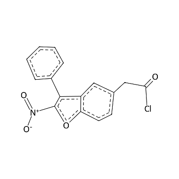 O=C(Cl)Cc1ccc2oc([N+](=O)[O-])c(-c3ccccc3)c2c1